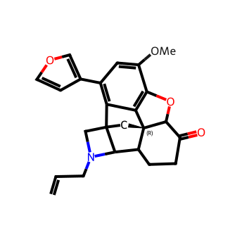 C=CCN1CC23C[C@@]45c6c(c(OC)cc(-c7ccoc7)c62)OC4C(=O)CCC5C13